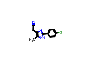 Cc1[nH]c(-c2ccc(Cl)cc2)nc1CC#N